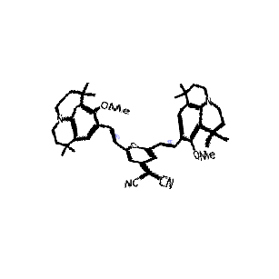 COc1c(/C=C/C2=CC(=C(C#N)C#N)C=C(/C=C/c3cc4c5c(c3OC)C(C)(C)CCN5CCC4(C)C)O2)cc2c3c1C(C)(C)CCN3CCC2(C)C